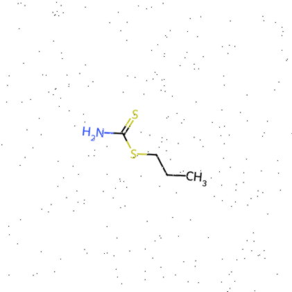 CCCSC(N)=S